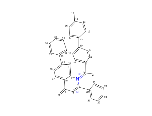 C=C(/C=C(\N=C(/C)c1ccc(-c2ccc(C)cc2)cc1)c1ccccc1)c1ccc(-c2ccccc2)cc1